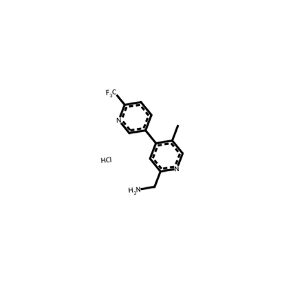 Cc1cnc(CN)cc1-c1ccc(C(F)(F)F)nc1.Cl